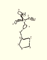 CCCCP(=O)(O)OCC1CCCC1